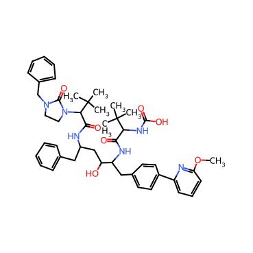 COc1cccc(-c2ccc(CC(NC(=O)C(NC(=O)O)C(C)(C)C)C(O)CC(Cc3ccccc3)NC(=O)C(N3CCN(Cc4ccccc4)C3=O)C(C)(C)C)cc2)n1